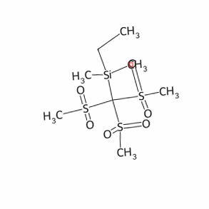 CC[Si](C)(C)C(S(C)(=O)=O)(S(C)(=O)=O)S(C)(=O)=O